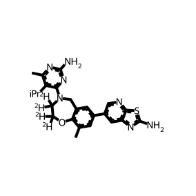 [2H]C1([2H])Oc2c(C)cc(-c3cnc4sc(N)nc4c3)cc2CN(c2nc(N)nc(C)c2C(C)C)C1([2H])[2H]